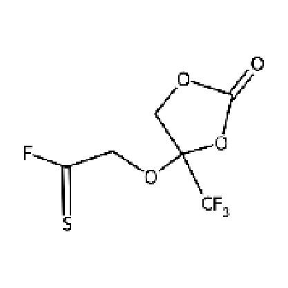 O=C1OCC(OCC(F)=S)(C(F)(F)F)O1